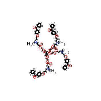 CN(CCCOc1ccc(C(=O)c2ccccc2)cc1)CCC(=O)OCCOCC(COCCOC(=O)CCN(C)CCCOc1ccc(C(=O)c2ccccc2)cc1)(COCCOC(=O)CCN(C)CCCOc1ccc(C(=O)c2ccccc2)cc1)COCCOC(=O)CCN(C)CCCOc1ccc(C(=O)c2ccccc2)cc1